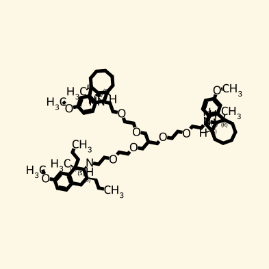 CCC[C@H]1Cc2ccc(OC)cc2[C@@](C)(CCC)[C@H]1NCCOCCOCC(COCCOCCN[C@H]1[C@H]2CCCCC[C@]1(C)c1cc(OC)ccc1C2)COCCOCCN[C@H]1[C@H]2CCCCC[C@]1(C)c1cc(OC)ccc1C2